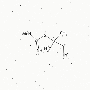 CNC(=N)SC(C)(C)CC(C)C